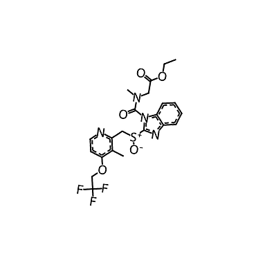 CCOC(=O)CN(C)C(=O)n1c([S+]([O-])Cc2nccc(OCC(F)(F)F)c2C)nc2ccccc21